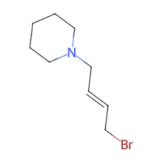 BrCC=CCN1CCCCC1